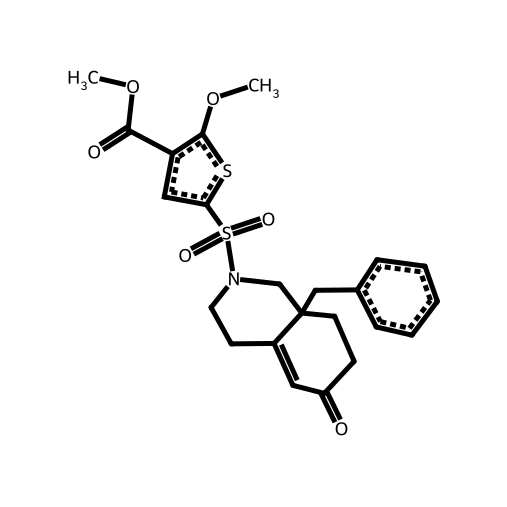 COC(=O)c1cc(S(=O)(=O)N2CCC3=CC(=O)CCC3(Cc3ccccc3)C2)sc1OC